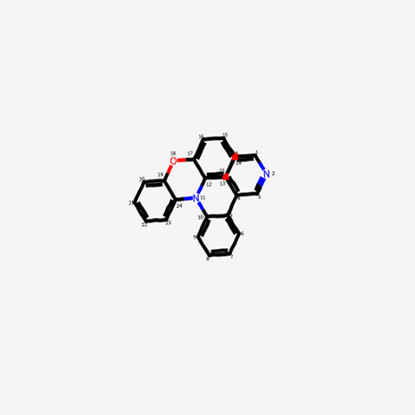 c1cncc(-c2ccccc2N2c3ccccc3Oc3ccccc32)c1